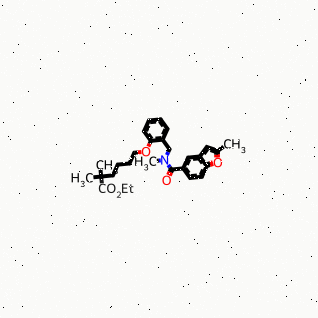 CCOC(=O)C(C)(C)CCCCOc1ccccc1CN(C)C(=O)c1ccc2oc(C)cc2c1